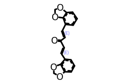 O=C(/C=C/c1cccc2c1OCO2)/C=C/c1cccc2c1OCO2